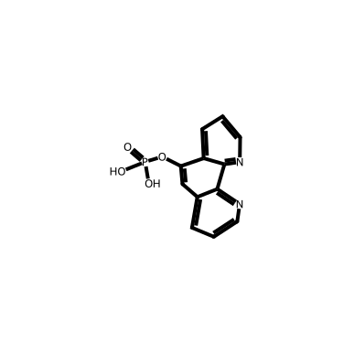 O=P(O)(O)Oc1cc2cccnc2c2ncccc12